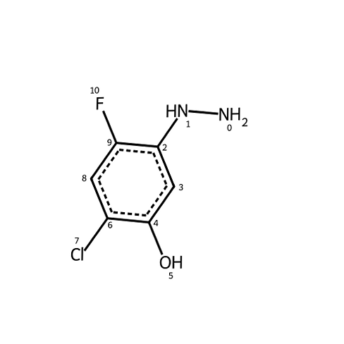 NNc1cc(O)c(Cl)cc1F